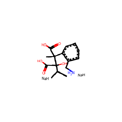 CC(C)C(O)(C(=O)O)C(C)(C(=O)O)c1ccccc1CN.[NaH].[NaH]